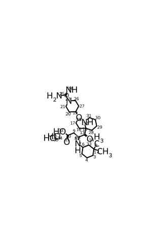 CC1(C)CCCC(N[C@@H](CC(=O)O)C(=O)C2(CCOC3CCN(C(=N)N)CC3)CCCCN2)C1.Cl.Cl